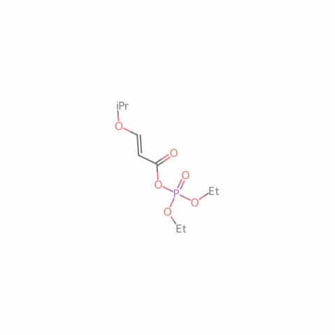 CCOP(=O)(OCC)OC(=O)C=COC(C)C